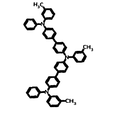 Cc1cccc(N(c2ccccc2)c2ccc(-c3ccc(N(c4ccc(-c5ccc(N(c6ccccc6)c6cccc(C)c6)cc5)cc4)c4cccc(C)c4)cc3)cc2)c1